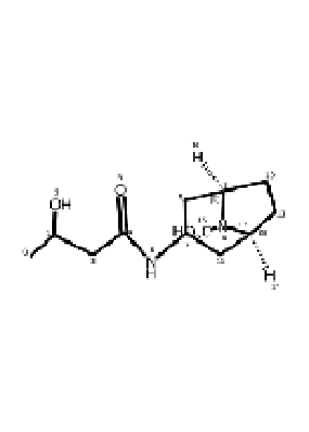 CC(O)CC(=O)NC1C[C@H]2CC[C@@H](C1)N2C(=O)O